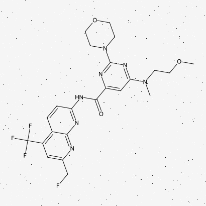 COCCN(C)c1cc(C(=O)Nc2ccc3c(C(F)(F)F)cc(CF)nc3n2)nc(N2CCOCC2)n1